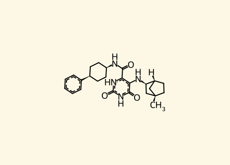 C[C@]12CC[C@H](C1)[C@H](Nc1c(C(=O)N[C@H]3CC[C@@H](c4ccccc4)CC3)[nH]c(=O)[nH]c1=O)C2